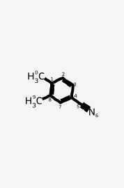 Cc1ccc(C#N)cc1C